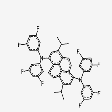 CC(C)c1cc(N(c2cc(F)cc(F)c2)c2cc(F)cc(F)c2)c2ccc3c(C(C)C)cc(N(c4cc(F)cc(F)c4)c4cc(F)cc(F)c4)c4ccc1c2c34